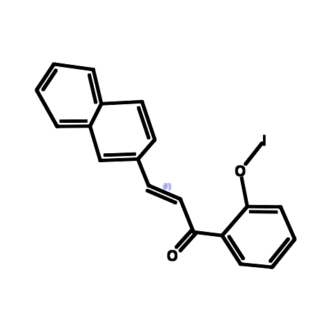 O=C(/C=C/c1ccc2ccccc2c1)c1ccccc1OI